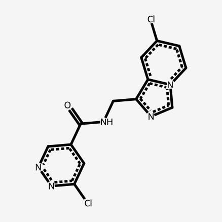 O=C(NCc1ncn2ccc(Cl)cc12)c1cnnc(Cl)c1